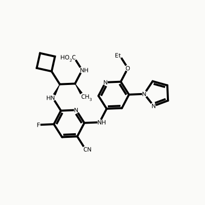 CCOc1ncc(Nc2nc(N[C@@H](C3CCC3)[C@H](C)NC(=O)O)c(F)cc2C#N)cc1-n1cccn1